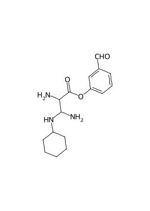 NC(NC1CCCCC1)C(N)C(=O)Oc1cccc(C=O)c1